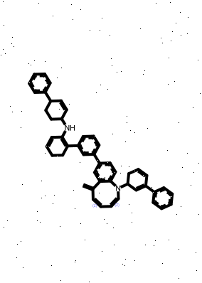 C=C1/C=C\C=C/N(C2C=C(c3ccccc3)C=CC2)c2ccc(-c3cccc(C4=C(NC5C=CC(c6ccccc6)CC5)C=CCC4)c3)cc21